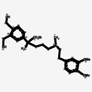 CCOC(=O)C(C)(CCCN(C)CCc1ccc(OC)c(OC)c1)c1ccc(CO)c(CO)c1